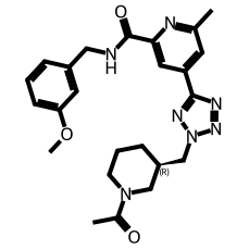 COc1cccc(CNC(=O)c2cc(-c3nnn(C[C@@H]4CCCN(C(C)=O)C4)n3)cc(C)n2)c1